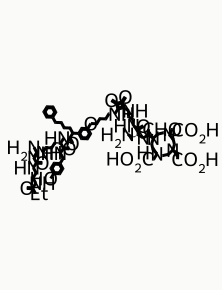 CCC(=O)NCCNC(=O)/N=C(/N)NCCC[C@@H](NC(=O)C(CCCCc1ccccc1)c1cccc(OCCCCNc2c(NCCNC(=O)[C@@H](CN)NC(C=O)N3CCN(CC(=O)O)CCN(CC(=O)O)CCN(CC(=O)O)CC3)c(=O)c2=O)c1)C(=O)NCc1ccc(O)cc1